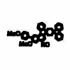 COc1ccc(-c2cc3c4c(cc(N=O)c3cc2OC)C2(CCC(c3ccccc3)(c3ccccc3)CC2)c2ccccc2-4)cc1